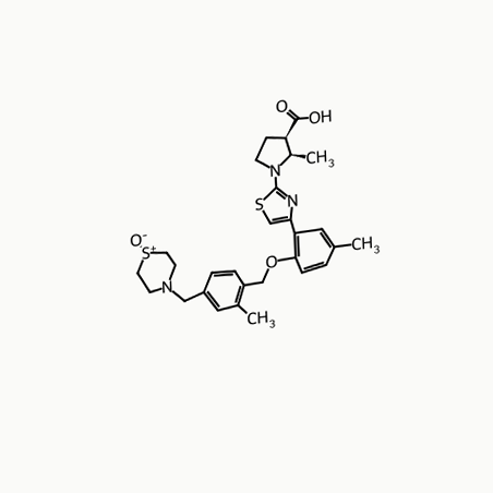 Cc1ccc(OCc2ccc(CN3CC[S+]([O-])CC3)cc2C)c(-c2csc(N3CC[C@@H](C(=O)O)[C@H]3C)n2)c1